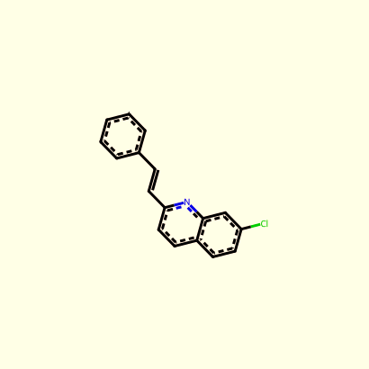 Clc1ccc2ccc(C=Cc3c[c]ccc3)nc2c1